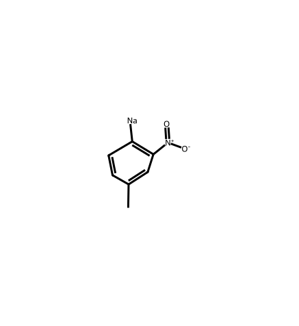 Cc1cc[c]([Na])c([N+](=O)[O-])c1